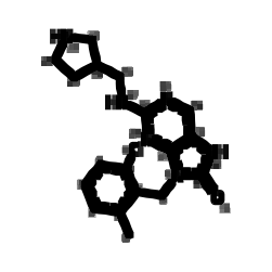 Cc1cccc(Cl)c1Cn1c(=O)[nH]c2cnc(NCC3CCNC3)nc21